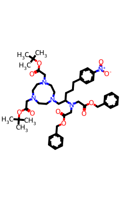 CC(C)(C)OC(=O)CN1CCN(CC(=O)OC(C)(C)C)CCN(CC(CCCc2ccc([N+](=O)[O-])cc2)N(CC(=O)OCc2ccccc2)CC(=O)OCc2ccccc2)CC1